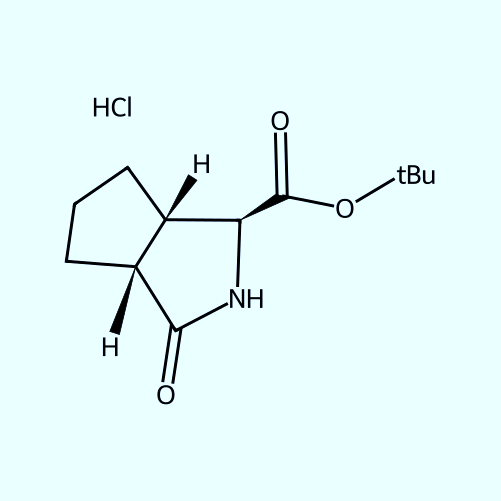 CC(C)(C)OC(=O)[C@H]1NC(=O)[C@@H]2CCC[C@H]12.Cl